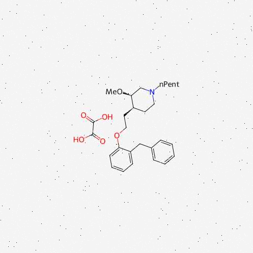 CCCCCN1CC[C@@H](CCOc2ccccc2Cc2ccccc2)[C@@H](OC)C1.O=C(O)C(=O)O